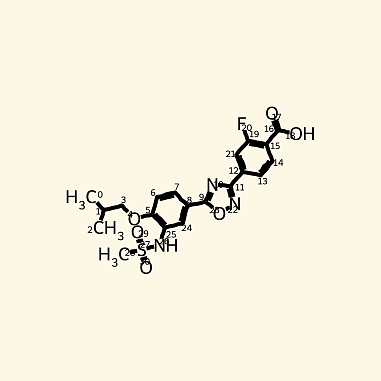 CC(C)COc1ccc(-c2nc(-c3ccc(C(=O)O)c(F)c3)no2)cc1NS(C)(=O)=O